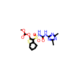 COC(=O)Oc1sc2ccccc2c1S(=O)(=O)NC(=O)Nc1nc(C)nc(C)n1